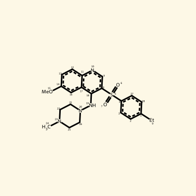 CCc1ccc(S(=O)(=O)c2cnc3ccc(OC)cc3c2NN2CCN(C)CC2)cc1